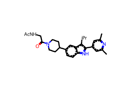 CC(=O)NCC(=O)N1CCC(c2ccc3[nH]c(-c4cc(C)nc(C)c4)c(C(C)C)c3c2)CC1